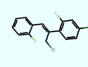 Fc1ccccc1C=C(CCl)c1ccc(Cl)cc1F